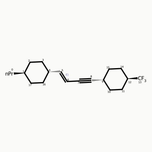 CCC[C@H]1CC[C@H](/C=C/C#C[C@H]2CC[C@H](C(F)(F)F)CC2)CC1